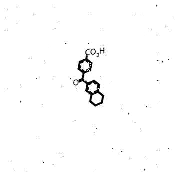 O=C(O)c1ccc(C(=O)c2ccc3c(c2)CCCC3)cc1